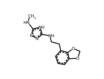 CNc1nnc(NCCc2cccc3c2OCO3)[nH]1